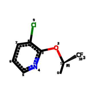 C[C@@H](Oc1ncccc1Cl)C(F)(F)F